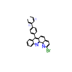 C/C=C\C(=C/C)c1ccc(-c2c3ccccc3nc3c2ccc2ccc(Br)nc23)cc1